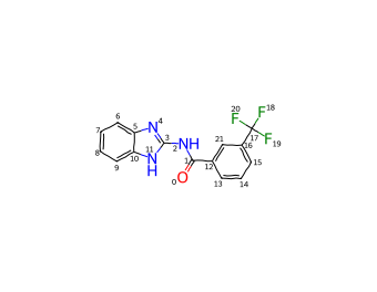 O=C(Nc1nc2ccccc2[nH]1)c1cccc(C(F)(F)F)c1